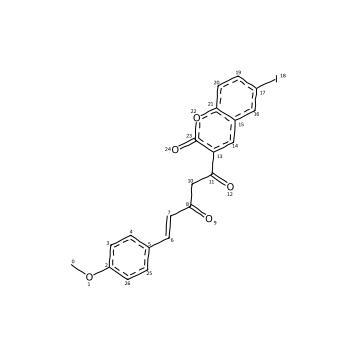 COc1ccc(C=CC(=O)CC(=O)c2cc3cc(I)ccc3oc2=O)cc1